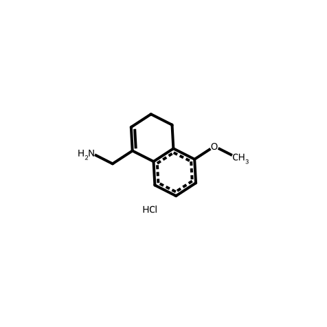 COc1cccc2c1CCC=C2CN.Cl